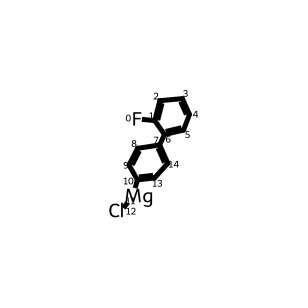 Fc1ccccc1-c1cc[c]([Mg][Cl])cc1